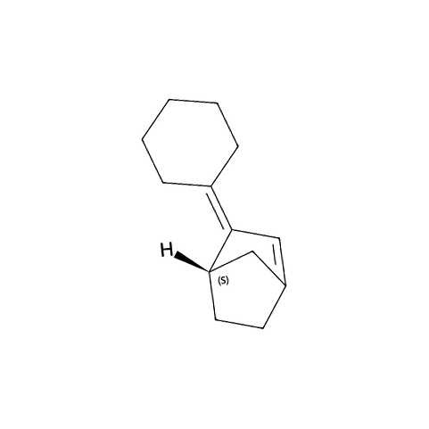 C1=C2CC[C@@H](C2)C1=C1CCCCC1